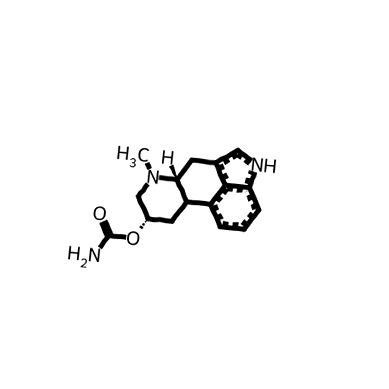 CN1C[C@@H](OC(N)=O)CC2c3cccc4[nH]cc(c34)C[C@H]21